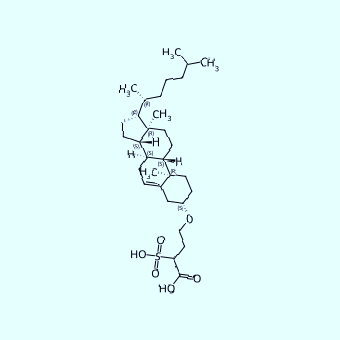 CC(C)CCC[C@@H](C)[C@H]1CC[C@H]2[C@@H]3CC=C4C[C@@H](OCCC(C(=O)O)S(=O)(=O)O)CC[C@]4(C)[C@H]3CC[C@]12C